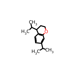 CC(C)c1ccc2c(c1)OCCC2C(C)C